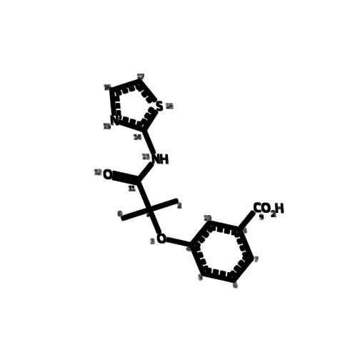 CC(C)(Oc1cccc(C(=O)O)c1)C(=O)Nc1nccs1